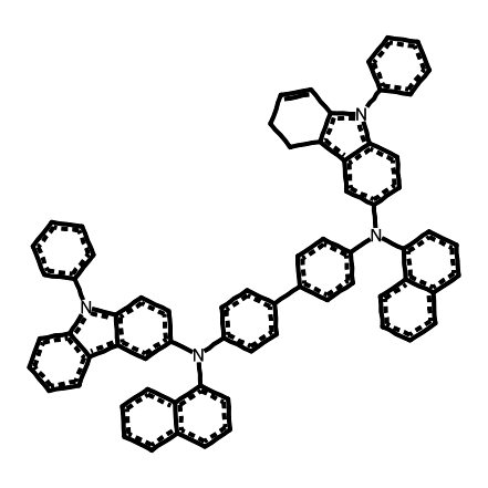 C1=Cc2c(c3cc(N(c4ccc(-c5ccc(N(c6ccc7c(c6)c6ccccc6n7-c6ccccc6)c6cccc7ccccc67)cc5)cc4)c4cccc5ccccc45)ccc3n2-c2ccccc2)CC1